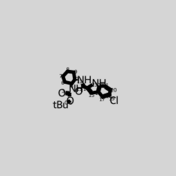 CC(C)(C)OC(=O)N[C@H]1CCCC[C@@H]1NC(=O)c1cc2cc(Cl)ccc2[nH]1